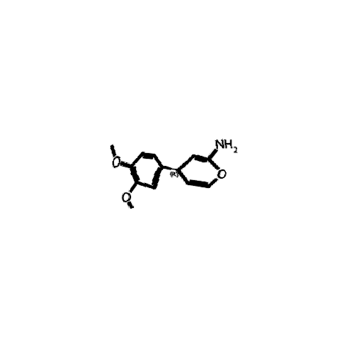 COc1ccc([C@@H]2C=COC(N)=C2)cc1OC